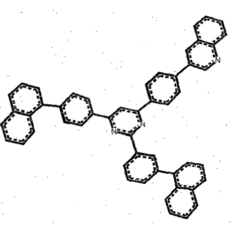 c1cc(-c2nc(-c3ccc(-c4cnc5ccccc5c4)cc3)cc(-c3ccc(-c4cccc5ccccc45)cc3)n2)cc(-c2cccc3ccccc23)c1